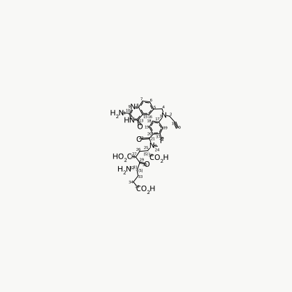 C#CCN(Cc1ccc2nc(N)[nH]c(=O)c2c1)c1ccc(C(=O)N(C)[C@@H](CC(C(=O)O)C(=O)[C@@H](N)CCC(=O)O)C(=O)O)c(F)c1